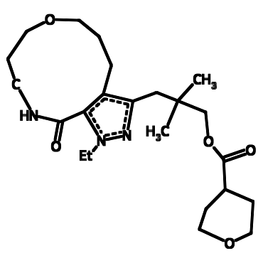 CCn1nc(CC(C)(C)COC(=O)C2CCOCC2)c2c1C(=O)NCCCOCCC2